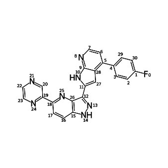 Fc1ccc(-c2ccnc3[nH]c(-c4n[nH]c5ccc(-c6cnccn6)nc45)cc23)cc1